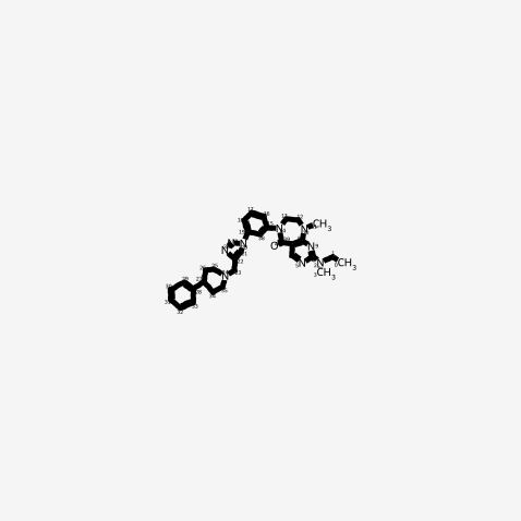 CCN(C)c1ncc2c(n1)N(C)CCN(c1cccc(-n3cc(CN4CCC(c5ccccc5)CC4)nn3)c1)C2=O